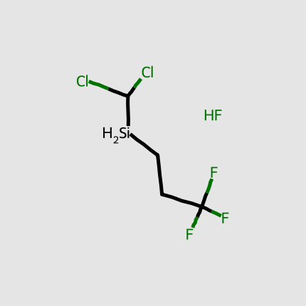 F.FC(F)(F)CC[SiH2]C(Cl)Cl